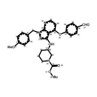 COc1ccc(Cn2nc(N[C@@H]3CCCN(C(=O)OC(C)(C)C)C3)c3c(Oc4ccc(C=O)cc4)ccnc32)cc1